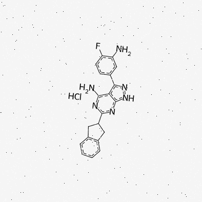 Cl.Nc1cc(-c2n[nH]c3nc(C4Cc5ccccc5C4)nc(N)c23)ccc1F